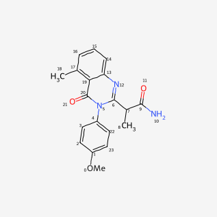 COc1ccc(-n2c(C(C)C(N)=O)nc3cccc(C)c3c2=O)cc1